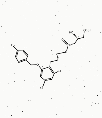 O=C(O)C[C@H](O)C[PH](=O)OCOCc1c(Cl)cc(Cl)cc1OCc1ccc(F)cc1